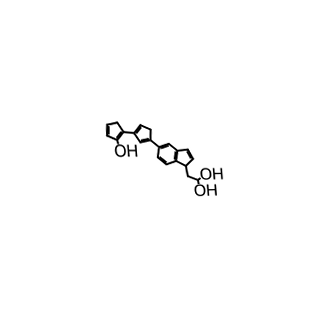 OC1=C(C2=CCC(c3ccc4c(c3)C=CC4CC(O)O)=C2)CC=C1